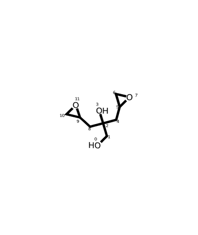 OCC(O)(CC1CO1)CC1CO1